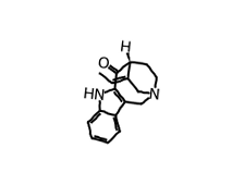 C/C=C1/CN2CC[C@H]1C(=O)c1[nH]c3ccccc3c1C2